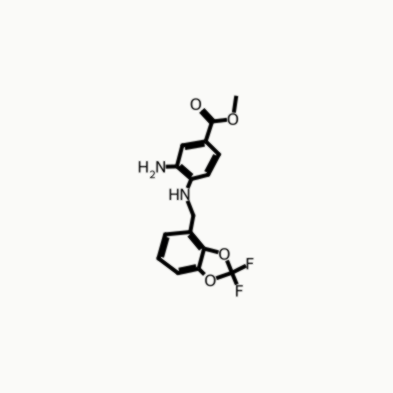 COC(=O)c1ccc(NCc2cccc3c2OC(F)(F)O3)c(N)c1